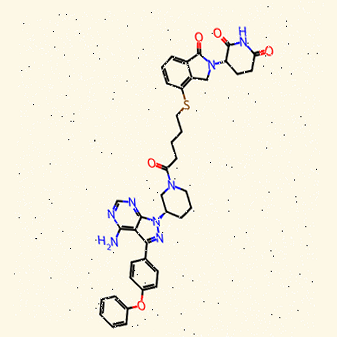 Nc1ncnc2c1c(-c1ccc(Oc3ccccc3)cc1)nn2[C@@H]1CCCN(C(=O)CCCCSc2cccc3c2CN(C2CCC(=O)NC2=O)C3=O)C1